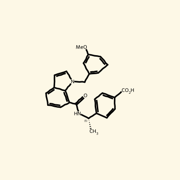 COc1cccc(Cn2ccc3cccc(C(=O)N[C@@H](C)c4ccc(C(=O)O)cc4)c32)c1